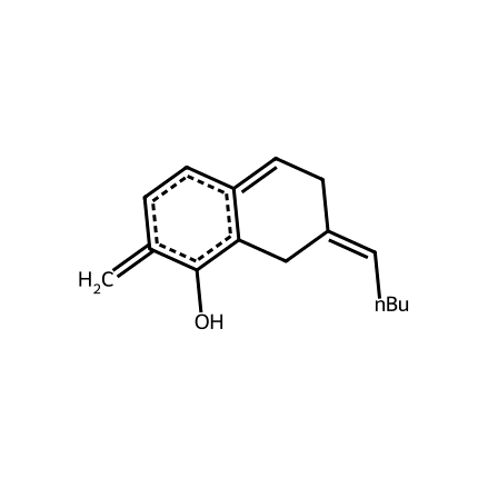 C=c1ccc2c(c1O)CC(=CCCCC)CC=2